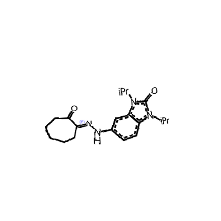 CC(C)n1c(=O)n(C(C)C)c2cc(N/N=C3\CCCCCC3=O)ccc21